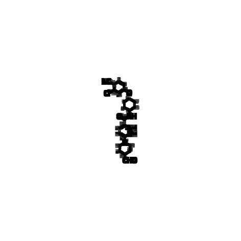 N#Cc1ccc(O[C@H]2CC[C@H](NC(=O)C3=CC=C(N4CCC(C=O)CC4)NN3)CC2)cc1Cl